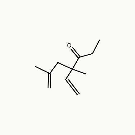 C=CC(C)(CC(=C)C)C(=O)CC